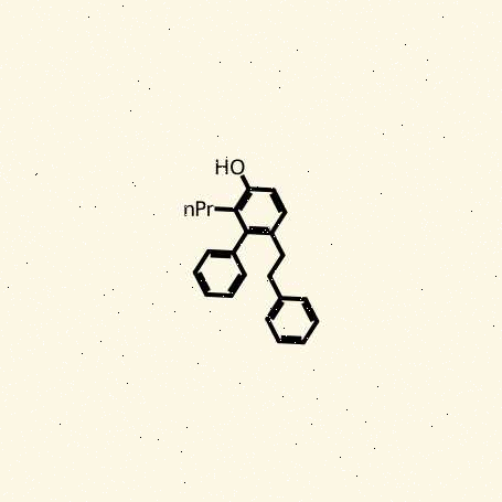 CCCc1c(O)ccc(CCc2ccccc2)c1-c1ccccc1